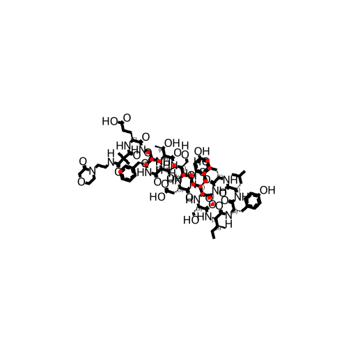 CC[C@H](C)[C@H](NC(=O)[C@H](CO)NC(=O)[C@H](Cc1ccc(O)cc1)NC(=O)[C@H](CC(=O)O)NC(=O)[C@H](CO)NC(=O)[C@@H](NC(=O)[C@H](Cc1ccccc1)NC(=O)[C@@H](NC(=O)CNC(=O)[C@H](CCC(=O)O)NC(=O)C(C)(C)C(=O)NCCN1CCOCC1=O)[C@@H](C)O)[C@@H](C)O)C(=O)N[C@@H](Cc1ccc(O)cc1)C(=O)N[C@@H](CC(C)C)C(=O)N[C@@H](CC(=O)O)C(=O)N[C@H](C)CCCCN